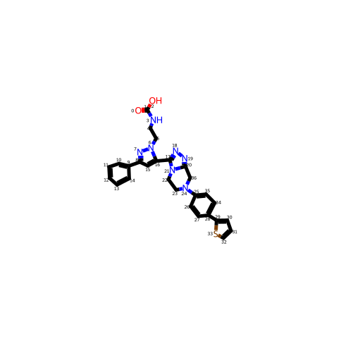 O=C(O)NCCn1nc(-c2ccccc2)cc1-c1nnc2n1CCN(c1ccc(-c3cccs3)cc1)C2